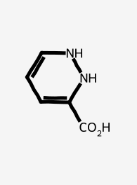 O=C(O)C1=CC=CNN1